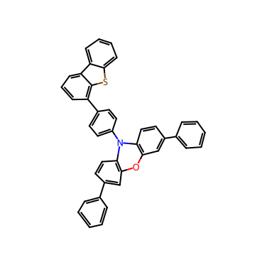 c1ccc(-c2ccc3c(c2)Oc2cc(-c4ccccc4)ccc2N3c2ccc(-c3cccc4c3sc3ccccc34)cc2)cc1